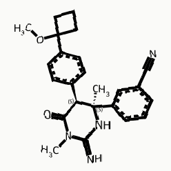 COC1(c2ccc([C@@H]3C(=O)N(C)C(=N)N[C@]3(C)c3cccc(C#N)c3)cc2)CCC1